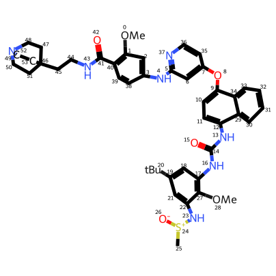 COc1cc(Nc2cc(Oc3ccc(NC(=O)Nc4cc(C(C)(C)C)cc(N[S+](C)[O-])c4OC)c4ccccc34)ccn2)ccc1C(=O)NCCC12CCN(CC1)CC2